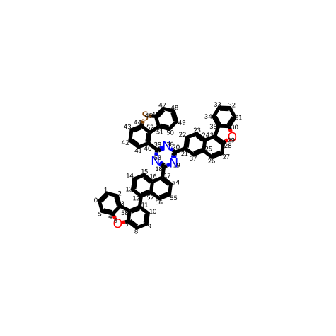 c1ccc2c(c1)oc1cccc(-c3cccc4c(-c5nc(-c6ccc7c(ccc8oc9ccccc9c87)c6)nc(-c6cccc7sc8ccccc8c67)n5)cccc34)c12